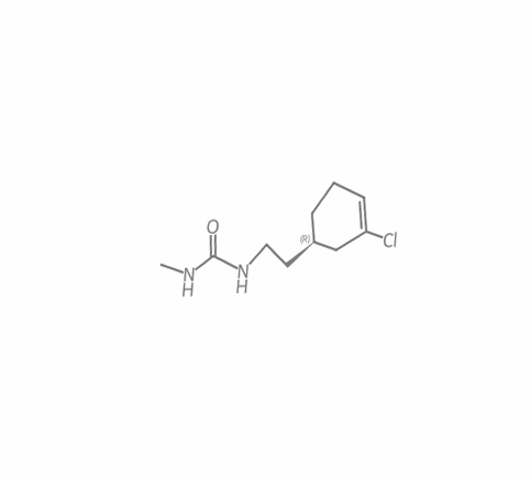 CNC(=O)NCC[C@H]1CCC=C(Cl)C1